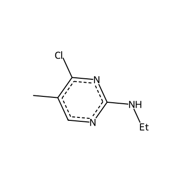 CCNc1ncc(C)c(Cl)n1